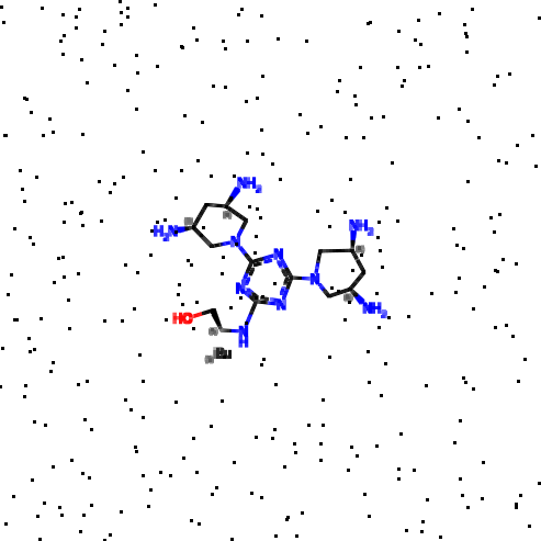 CC[C@H](C)[C@@H](CO)Nc1nc(N2C[C@H](N)C[C@H](N)C2)nc(N2C[C@H](N)C[C@H](N)C2)n1